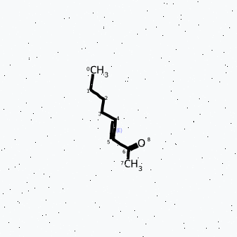 CCCC/C=C/C(C)=O